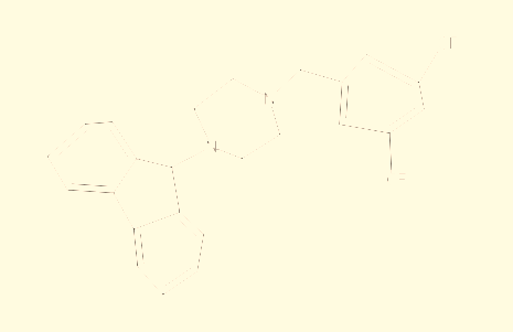 FC(F)(F)c1cc(CN2CCN(C3c4ccccc4-c4ccccc43)CC2)cc(C(F)(F)F)c1